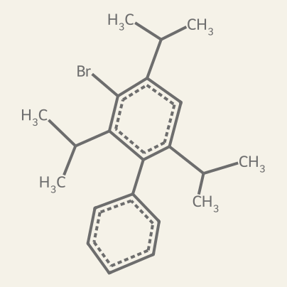 CC(C)c1cc(C(C)C)c(-c2ccccc2)c(C(C)C)c1Br